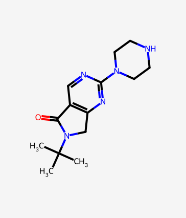 CC(C)(C)N1Cc2nc(N3CCNCC3)ncc2C1=O